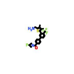 Cc1c(CN)sc(-c2cc(-c3ccc(C(=O)N4CC(F)C4)cc3)ccc2C(F)(F)F)c1C